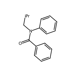 CC(C)CN(C(=O)c1ccccc1)c1ccccc1